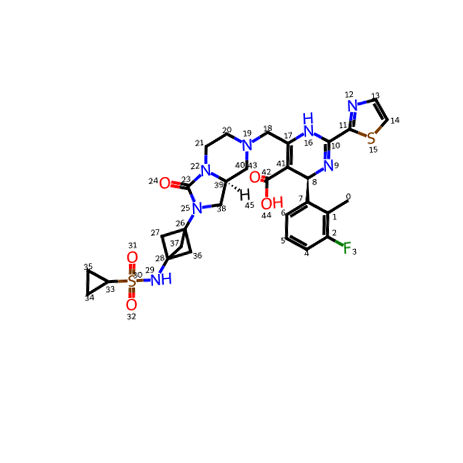 Cc1c(F)cccc1[C@@H]1N=C(c2nccs2)NC(CN2CCN3C(=O)N(C45CC(NS(=O)(=O)C6CC6)(C4)C5)C[C@@H]3C2)=C1C(=O)O